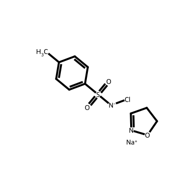 C1=NOCC1.Cc1ccc(S(=O)(=O)[N-]Cl)cc1.[Na+]